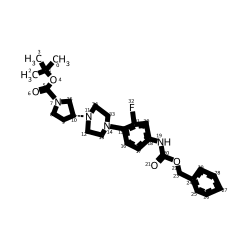 CC(C)(C)OC(=O)N1CC[C@@H](N2CCN(c3ccc(NC(=O)OCc4ccccc4)cc3F)CC2)C1